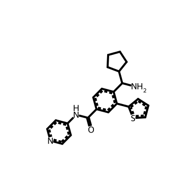 NC(c1ccc(C(=O)Nc2ccncc2)cc1-c1cccs1)C1CCCC1